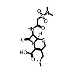 COCC1=C(C(=O)O)N2C(=O)C(NC(=O)CS(=O)(=O)N(C)C)[C@H]2SC1